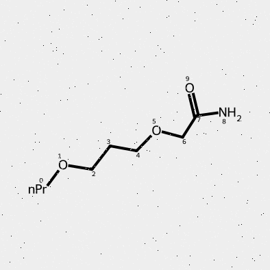 CCCOCCCOCC(N)=O